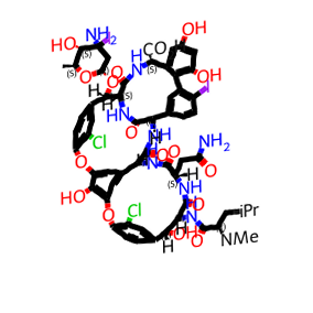 CN[C@H](CC(C)C)C(=O)N[C@H]1C(=O)N[C@@H](CC(N)=O)C(=O)N[C@H]2C(=O)N[C@H]3C(=O)N[C@H](C(=O)N[C@H](C(=O)O)c4cc(O)cc(O)c4-c4cc3ccc4I)[C@H](O[C@H]3CC(N)(I)[C@@H](O)[C@H](C)O3)c3ccc(c(Cl)c3)Oc3cc2cc(c3O)Oc2ccc(cc2Cl)[C@H]1O